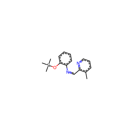 Cc1cccnc1/C=N\c1ccccc1O[Si](C)(C)C